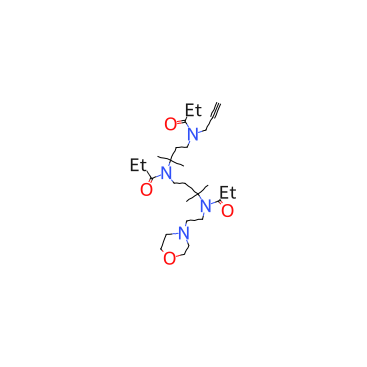 C#CCN(CCC(C)(C)N(CCC(C)(C)N(CCN1CCOCC1)C(=O)CC)C(=O)CC)C(=O)CC